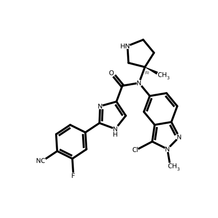 Cn1nc2ccc(N(C(=O)c3c[nH]c(-c4ccc(C#N)c(F)c4)n3)[C@@]3(C)CCNC3)cc2c1Cl